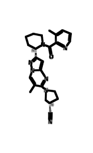 Cc1cccnc1C(=O)N1CCCC[C@H]1c1cc2nc(N3CC[C@H](C#N)C3)c(C)cn2n1